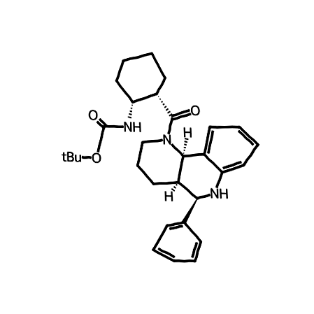 CC(C)(C)OC(=O)N[C@@H]1CCCC[C@@H]1C(=O)N1CCC[C@@H]2[C@H](c3ccccc3)Nc3ccccc3[C@@H]21